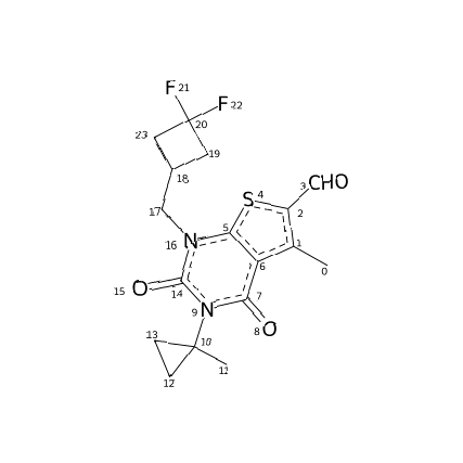 Cc1c(C=O)sc2c1c(=O)n(C1(C)CC1)c(=O)n2CC1CC(F)(F)C1